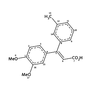 COc1ccc(C(=CC(=O)O)c2cccc(C)c2)cc1OC